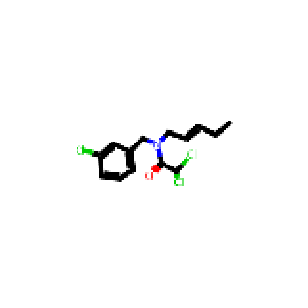 CC/C=C/CN(Cc1cccc(Cl)c1)C(=O)C(Cl)Cl